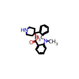 CN(C)c1ccccc1C(=O)OC1(c2ccccc2)CCNCC1